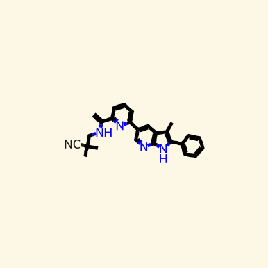 C=C(NCC(C)(C)C#N)c1cccc(-c2cnc3[nH]c(-c4ccccc4)c(C)c3c2)n1